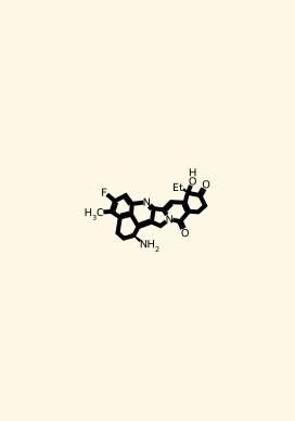 CC[C@@]1(O)C(=O)CCc2c1cc1n(c2=O)Cc2c-1nc1cc(F)c(C)c3c1c2[C@@H](N)CC3